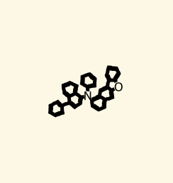 c1ccc(-c2ccc(N(c3ccccc3)c3cccc4cc5oc6ccccc6c5cc34)c3ccccc23)cc1